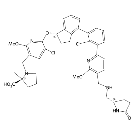 COc1nc(-c2cccc(-c3cccc4c3CC[C@@H]4Oc3nc(OC)c(CN4CCC[C@@]4(C)C(=O)O)cc3Cl)c2Cl)ccc1CNC[C@@H]1CCC(=O)N1